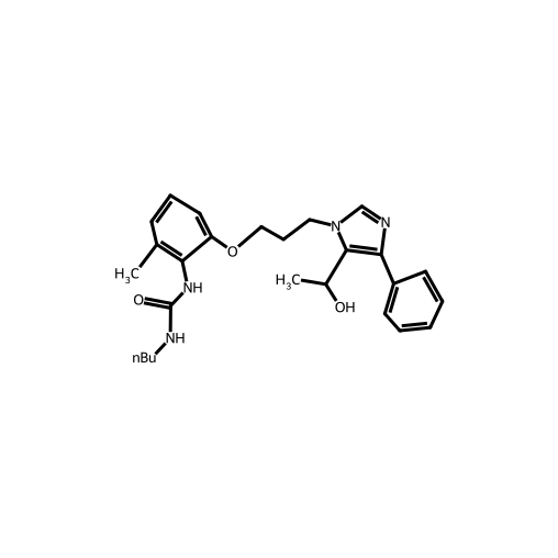 CCCCNC(=O)Nc1c(C)cccc1OCCCn1cnc(-c2ccccc2)c1C(C)O